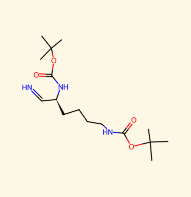 CC(C)(C)OC(=O)NCCCC[C@@H](C=N)NC(=O)OC(C)(C)C